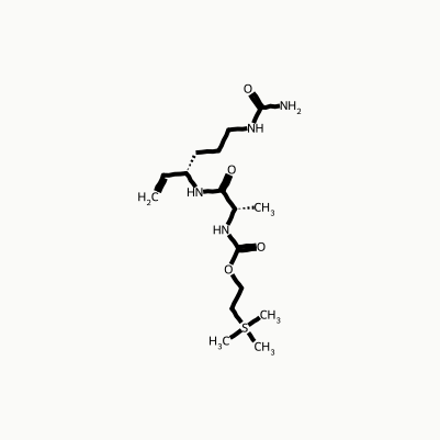 C=C[C@H](CCCNC(N)=O)NC(=O)[C@H](C)NC(=O)OCCS(C)(C)C